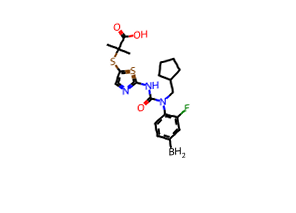 Bc1ccc(N(CC2CCCC2)C(=O)Nc2ncc(SC(C)(C)C(=O)O)s2)c(F)c1